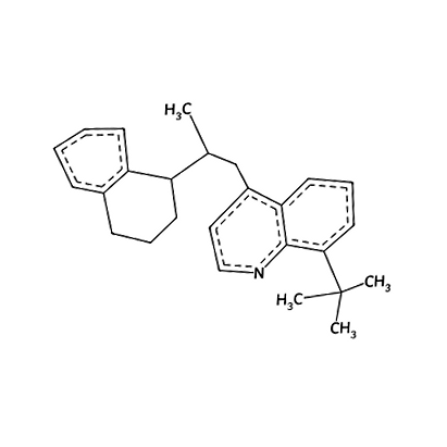 CC(Cc1ccnc2c(C(C)(C)C)cccc12)C1CCCc2ccccc21